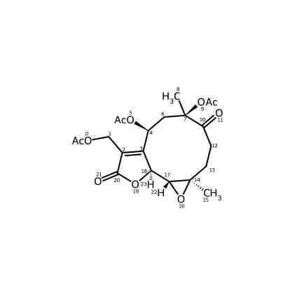 CC(=O)OCC1=C2[C@@H](OC(C)=O)C[C@@](C)(OC(C)=O)C(=O)CC[C@@]3(C)O[C@@H]3[C@H]2OC1=O